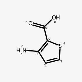 Nc1ccsc1C(=O)O